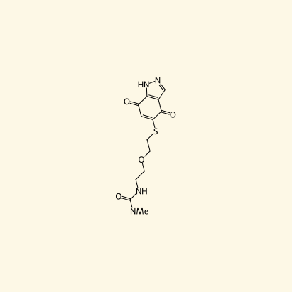 CNC(=O)NCCOCCSC1=CC(=O)c2[nH]ncc2C1=O